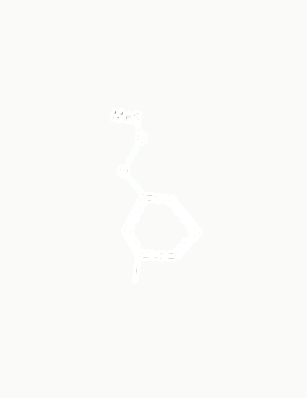 CSOOc1cccc(C)c1